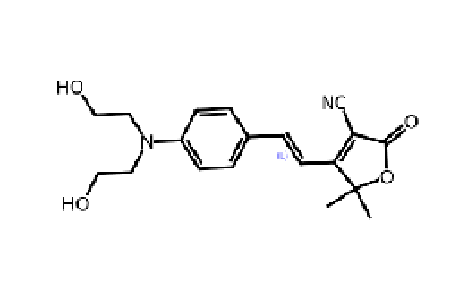 CC1(C)OC(=O)C(C#N)=C1/C=C/c1ccc(N(CCO)CCO)cc1